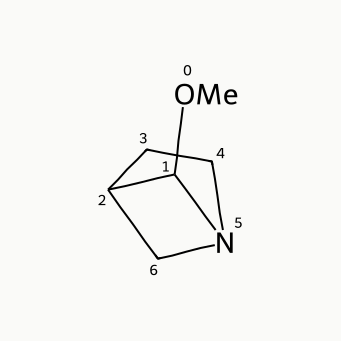 COC1C2CCN1C2